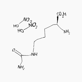 NC(=O)NCCC[C@H](N)C(=O)O.O=[N+]([O-])O.O=[N+]([O-])O